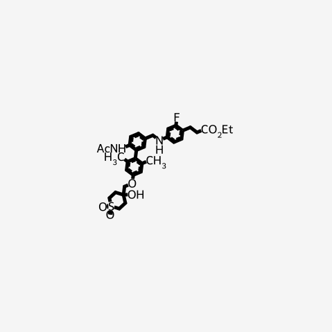 CCOC(=O)CCc1ccc(NCc2ccc(NC(C)=O)c(-c3c(C)cc(OCC4(O)CCS(=O)(=O)CC4)cc3C)c2)cc1F